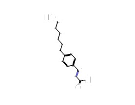 O=C(Cl)/C=C/c1ccc(CCCCCCO)cc1